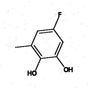 Cc1cc(F)cc(O)c1O